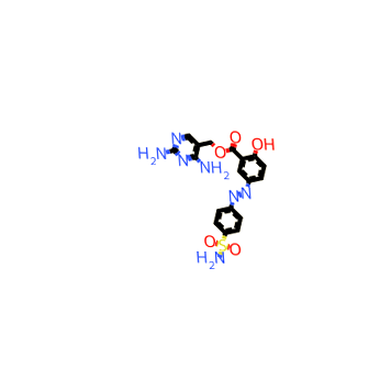 Nc1ncc(COC(=O)c2cc(N=Nc3ccc(S(N)(=O)=O)cc3)ccc2O)c(N)n1